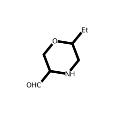 CCC1CNC(C=O)CO1